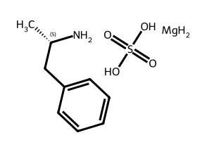 C[C@H](N)Cc1ccccc1.O=S(=O)(O)O.[MgH2]